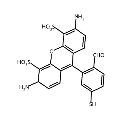 Nc1ccc2c(c1S(=O)(=O)O)OC1=C(S(=O)(=O)O)C(N)C=CC1=C2c1cc(S)ccc1C=O